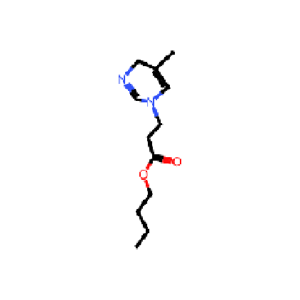 CCCCOC(=O)CCN1C=NCC(C)=C1